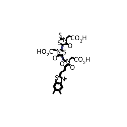 Cc1cc2c(cc1C)N(C)C(=CC=c1o/c(=c3/s/c(=C4/SC(=S)N(CC(=O)O)C4=O)n(CC(=O)O)c3=O)n(CC(=O)O)c1=O)S2